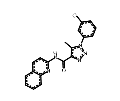 Cc1c(C(=O)Nc2ccc3ccccc3n2)nnn1-c1cccc(Cl)c1